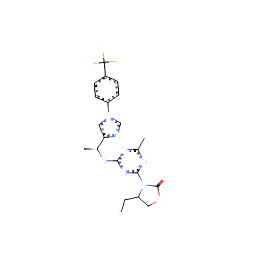 CCC1COC(=O)N1c1nc(C)nc(N[C@@H](C)c2cn(-c3ccc(C(F)(F)F)cc3)cn2)n1